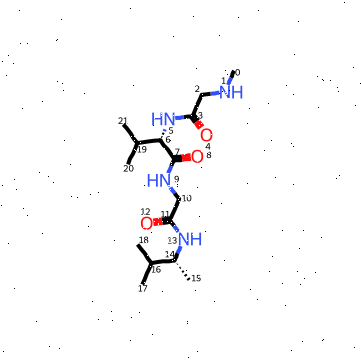 CNCC(=O)N[C@H](C(=O)NCC(=O)N[C@H](C)C(C)C)C(C)C